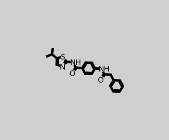 CC(C)c1cnc(NC(=O)c2ccc(NC(=O)Cc3ccccc3)cc2)s1